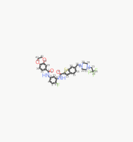 O=C(Nc1ccc(F)c(NC(=O)c2cc3ccc(CN4CCN(CC(F)(F)F)CC4)cc3s2)c1)c1ccc2c(c1)OCCO2